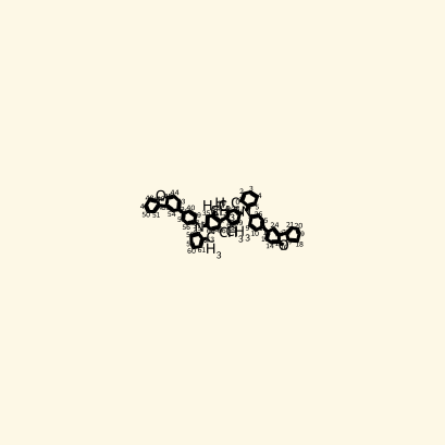 Cc1ccccc1N(c1ccc(-c2ccc3oc4ccccc4c3c2)cc1)c1cc(C)c(-c2c(C)cc(N(c3ccc(-c4ccc5oc6ccccc6c5c4)cc3)c3ccccc3C)cc2C)c(C)c1